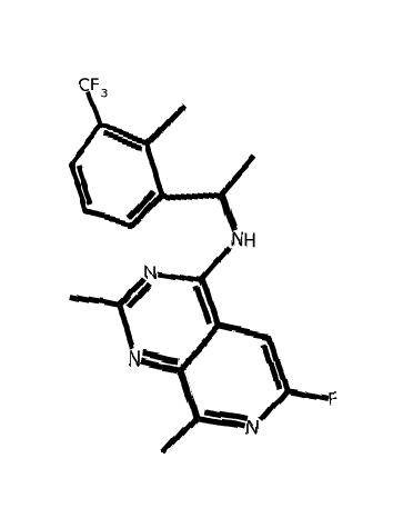 Cc1nc(NC(C)c2cccc(C(F)(F)F)c2C)c2cc(F)nc(C)c2n1